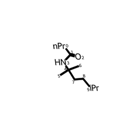 CCCC(=O)NC(C)(C)CCC(C)C